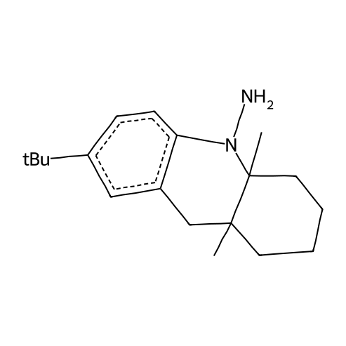 CC(C)(C)c1ccc2c(c1)CC1(C)CCCCC1(C)N2N